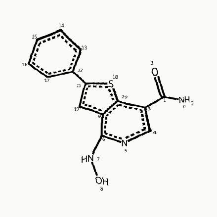 NC(=O)c1cnc(NO)c2cc(-c3ccccc3)sc12